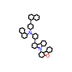 c1cc(-c2cccc3c2c2ccccc2n3-c2cccc3oc4ccccc4c23)cc(N(c2ccc(-c3cccc4ccccc34)cc2)c2cccc3ccccc23)c1